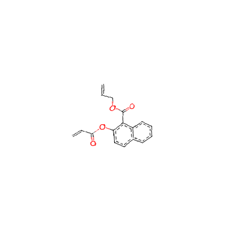 C=CCOC(=O)c1c(OC(=O)C=C)ccc2ccccc12